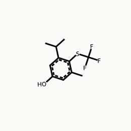 Cc1cc(O)cc(C(C)C)c1SC(F)(F)F